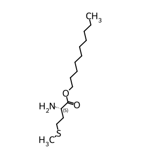 CCCCCCCCCCOC(=O)[C@@H](N)CCSC